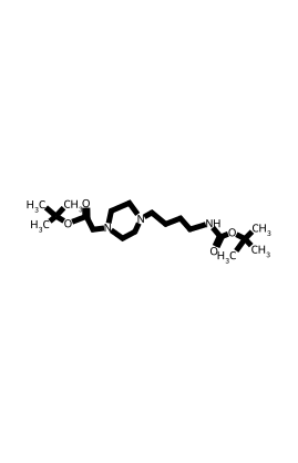 CC(C)(C)OC(=O)CN1CCN(CCCCNC(=O)OC(C)(C)C)CC1